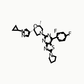 C[C@@H]1CN(c2nc(-c3ccc(F)cc3F)c3sc(N4CCCC4)nc3n2)C[C@H](c2cnn(C3CC3)c2)O1